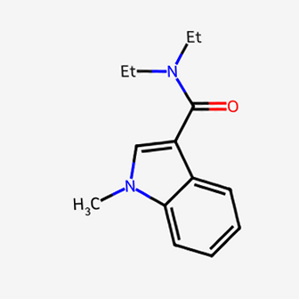 CCN(CC)C(=O)c1cn(C)c2ccccc12